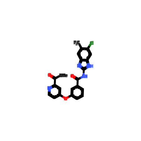 CNC(=O)c1cc(Oc2cccc(C(=O)Nc3nc4cc(C(F)(F)F)c(Cl)cc4[nH]3)c2)ccn1